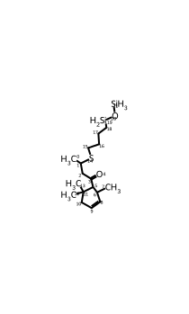 CC(CC(=O)C1C(C)C=CCC1(C)C)SCCCC[SiH2]O[SiH3]